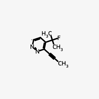 CC#Cc1nn[c]cc1C(C)(C)F